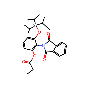 CCC(=O)Oc1cccc(O[Si](C(C)C)(C(C)C)C(C)C)c1N1C(=O)c2ccccc2C1=O